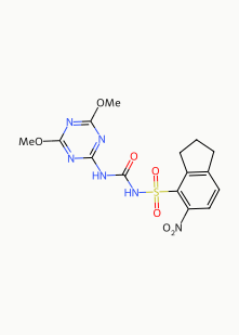 COc1nc(NC(=O)NS(=O)(=O)c2c([N+](=O)[O-])ccc3c2CCC3)nc(OC)n1